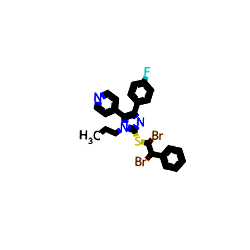 CCCn1c(SC(Br)C(Br)c2ccccc2)nc(-c2ccc(F)cc2)c1-c1ccncc1